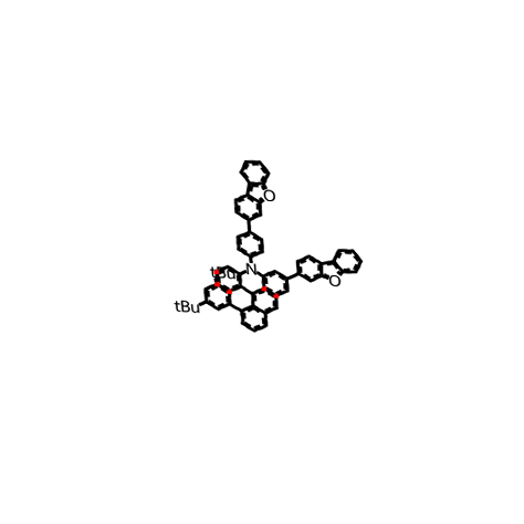 CC(C)(C)c1cc(-c2cccc3cccc(-c4ccccc4N(c4ccc(-c5ccc6c(c5)oc5ccccc56)cc4)c4cccc(-c5ccc6c(c5)oc5ccccc56)c4)c23)cc(C(C)(C)C)c1